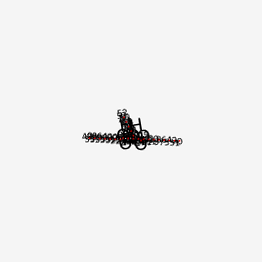 CCCCCCCCCCCCCCC(=O)C(=O)NCC(CNC(=O)C(=O)CCCCCCCCCCCCCC)OC(=O)CCCCCCCCC